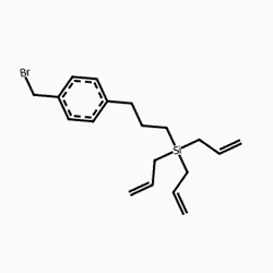 C=CC[Si](CC=C)(CC=C)CCCc1ccc(CBr)cc1